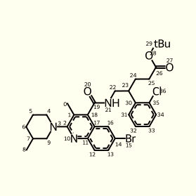 Cc1c(N2CCCC(C)C2)nc2ccc(Br)cc2c1C(=O)NCC(CCC(=O)OC(C)(C)C)c1ccccc1Cl